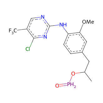 COc1cc(CC(C)O[PH2]=O)ccc1Nc1ncc(C(F)(F)F)c(Cl)n1